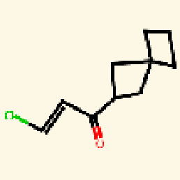 O=C(/C=C/Cl)C1CC2(CCC2)C1